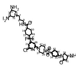 NC1CC(N)CN(CCCNC(=O)C2CCC(C(F)(F)c3cc(Cl)nc(N4CCN(S(=O)(=O)c5ccc(N6C[C@H](N)CC6=O)cc5)CC4)c3)CC2)C1